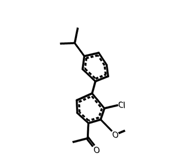 COc1c(C(C)=O)ccc(-c2cccc(C(C)C)c2)c1Cl